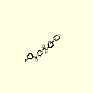 O=C(Nc1ccc(N2CCOCC2)nc1)N1CCN(C(=O)c2cccc(F)c2)CC1